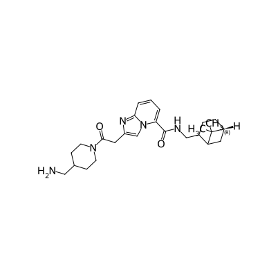 CC1(C)C2C[C@H]1CCC2CNC(=O)c1cccc2nc(CC(=O)N3CCC(CN)CC3)cn12